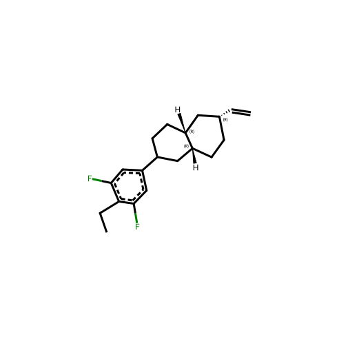 C=C[C@@H]1CC[C@@H]2CC(c3cc(F)c(CC)c(F)c3)CC[C@@H]2C1